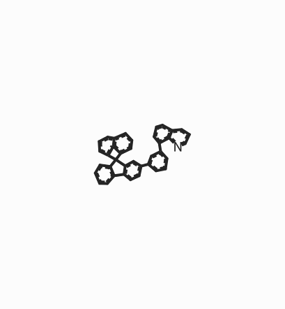 c1cc(-c2ccc3c(c2)C2(c4ccccc4-3)c3cccc4cccc2c34)cc(-c2cccc3cccnc23)c1